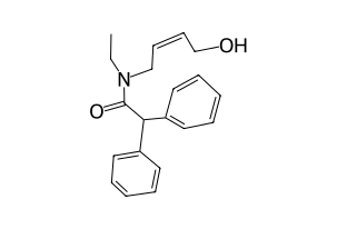 CCN(C/C=C\CO)C(=O)C(c1ccccc1)c1ccccc1